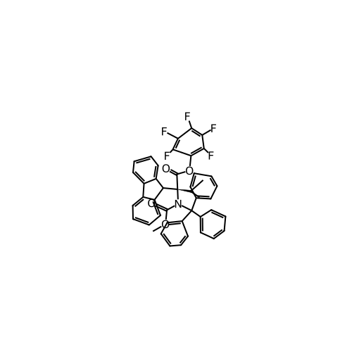 COC(=O)N(C(c1ccccc1)(c1ccccc1)c1ccccc1)[C@](C(=O)Oc1c(F)c(F)c(F)c(F)c1F)(C(C)C)C1c2ccccc2-c2ccccc21